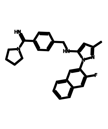 Cc1cc(NCc2ccc(C(=N)N3CCCC3)cc2)n(-c2cc3ccccc3cc2F)n1